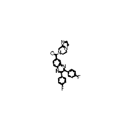 O=C(c1ccc2nc(-c3ccc(F)cc3)c(-c3ccc(F)cc3)nc2c1)N1CCn2ccnc2C1